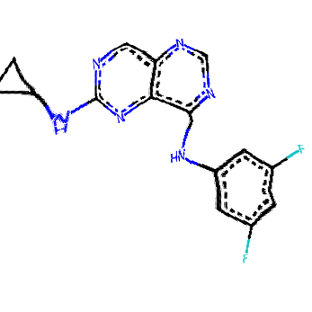 Fc1cc(F)cc(Nc2ncnc3cnc(NC4CC4)nc23)c1